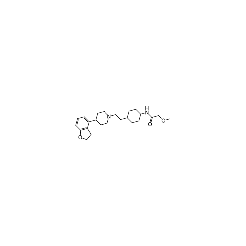 COCC(=O)NC1CCC(CCN2CCC(c3cccc4c3CCO4)CC2)CC1